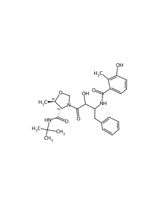 Cc1c(O)cccc1C(=O)NC(Cc1ccccc1)C(O)C(=O)N1CO[C@H](C)[C@H]1C(=O)NC(C)(C)C